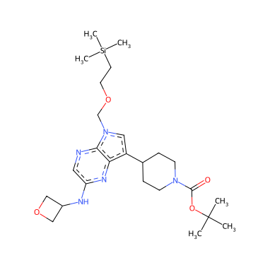 CC(C)(C)OC(=O)N1CCC(c2cn(COCC[Si](C)(C)C)c3ncc(NC4COC4)nc23)CC1